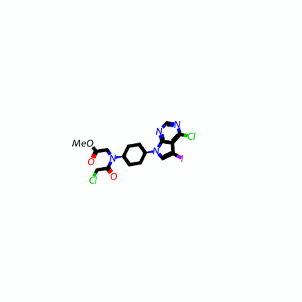 COC(=O)CN(C(=O)CCl)[C@H]1CC[C@@H](n2cc(I)c3c(Cl)ncnc32)CC1